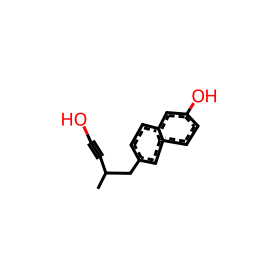 CC(C#CO)Cc1ccc2cc(O)ccc2c1